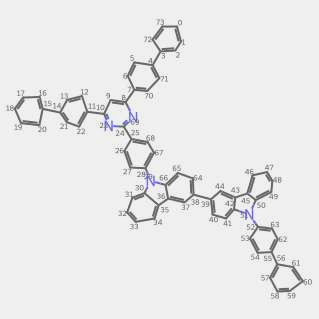 c1ccc(-c2ccc(-c3cc(-c4ccc(-c5ccccc5)cc4)nc(-c4ccc(-n5c6ccccc6c6cc(-c7ccc8c(c7)c7ccccc7n8-c7ccc(-c8ccccc8)cc7)ccc65)cc4)n3)cc2)cc1